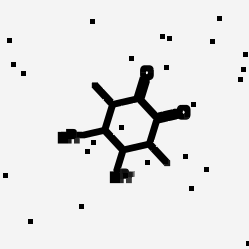 CCCC1C(C)C(=O)C(=O)C(C)C1CCC